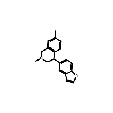 Cc1ccc2c(c1)CN(C)CC2c1ccc2occc2c1